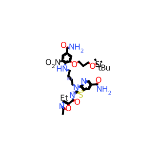 CCc1nc(C)oc1C(=O)/N=c1\sc2cc(C(N)=O)cnc2n1C/C=C/CNc1c(OCCCO[Si](C)(C)C(C)(C)C)cc(C(N)=O)cc1[N+](=O)[O-]